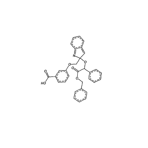 O=C(O)c1cccc(OCC2(OC(C(=O)OCc3ccccc3)c3ccccc3)C=c3ccccc3=N2)c1